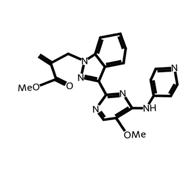 C=C(Cn1nc(-c2ncc(OC)c(Nc3ccncc3)n2)c2ccccc21)C(=O)OC